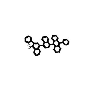 c1ccc(-c2c3ccccc3c(-c3ccc(-c4cc5c6ccccc6sc5c5ccccc45)c4ccccc34)c3ccccc23)cc1